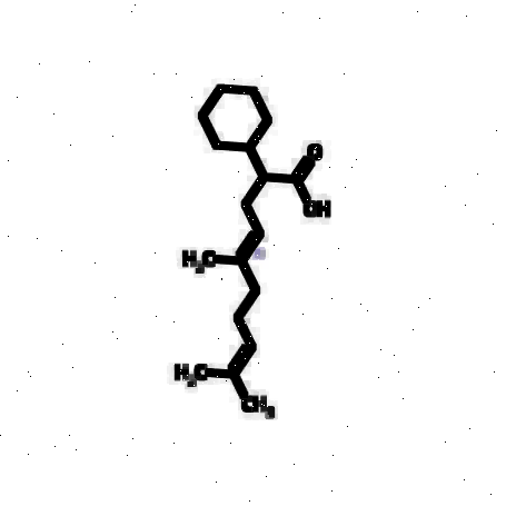 CC(C)=CCC/C(C)=C/CC(C(=O)O)C1CCCCC1